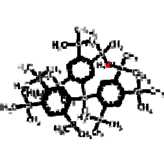 C[Si](C)(C)c1cc([Si](C)(C)C)c([Si](Cl)(c2cc([Si](C)(C)C)c([Si](C)(C)C)cc2[Si](C)(C)C)c2cc([Si](C)(C)C)c([Si](C)(C)C)cc2[Si](C)(C)C)cc1[Si](C)(C)C